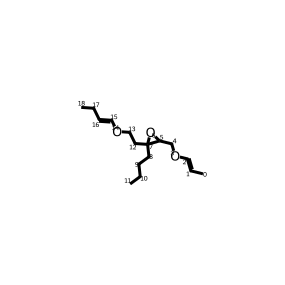 CC=COCC1OC1(CCCC)CCOC=CCC